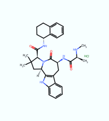 CN[C@@H](C)C(=O)N[C@H]1Cc2c([nH]c3ccccc23)[C@H]2CC(C)(C)[C@@H](C(=O)N[C@@H]3CCCc4ccccc43)N2C1=O.Cl